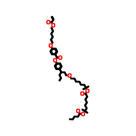 C=CC(=O)OCCCCCCOc1ccc(C(=O)Oc2ccc(C(CCC)CCOCCCCCCC(C)(C)OC(=O)CCCCCC(C)(C)OC(=O)CCCC)cc2)cc1